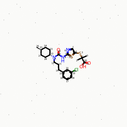 CC(C)(Sc1cnc(NC(=O)N(CCCc2cccc(Cl)c2)[C@H]2CC[C@H](C)CC2)s1)C(=O)O